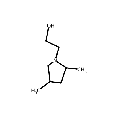 CC1CC(C)N(CCO)C1